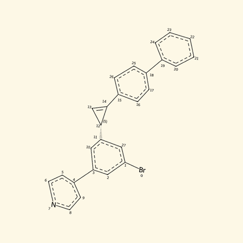 Brc1cc(-c2ccncc2)cc([C@@H]2C=C2c2ccc(-c3ccccc3)cc2)c1